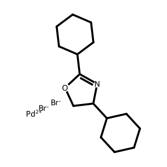 C1CCC(C2=NC(C3CCCCC3)CO2)CC1.[Br-].[Br-].[Pd+2]